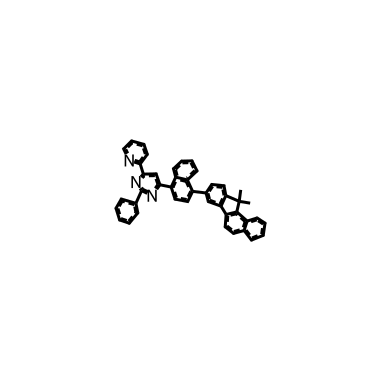 CC1(C)c2ccc(-c3ccc(-c4cc(-c5ccccn5)nc(-c5ccccc5)n4)c4ccccc34)cc2-c2ccc3ccccc3c21